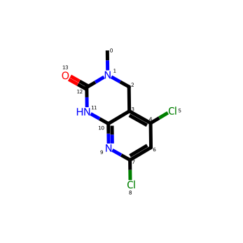 CN1Cc2c(Cl)cc(Cl)nc2NC1=O